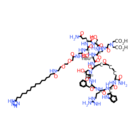 CCCC[C@H](NC(=O)[C@H](CNC(=O)CN(CC(=O)O)CC(=O)O)NC(=O)[C@H](CO)NC(=O)[C@H](CCC(N)=O)NC(=O)[C@H](CO)NC(=O)CNC(=O)COCCOCCNC(=O)CCCCCCCCCCCCCCCc1nnn[nH]1)C(=O)N[C@H]1CCC(=O)CCCCC[C@@H](C(N)=O)NC(=O)[C@H](Cc2c[nH]c3ccccc23)NC(=O)[C@H](CCCNC(=N)N)NC(=O)[C@@H](Cc2ccccc2)NC(=O)[C@@H]2C[C@@H](O)CN2C1=O